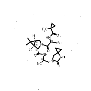 CC(C)(C)[C@H](NC(=O)C1(C(F)(F)F)CC1)C(=O)N1C[C@H]2[C@@H]([C@H]1C(=O)N[C@H](C#N)C[C@@H]1CC3(CC3)NC1=O)C2(C)C